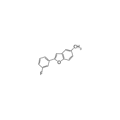 Cc1ccc2oc(-c3cccc(F)c3)cc2c1